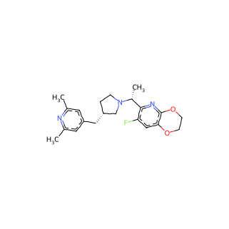 Cc1cc(C[C@@H]2CCN([C@H](C)c3nc4c(cc3F)OCCO4)C2)cc(C)n1